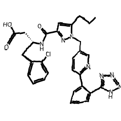 CCCc1cc(C(=O)N[C@@H](CC(=O)O)Cc2ccccc2Cl)nn1Cc1ccc(-c2ccccc2-c2nnn[nH]2)nc1